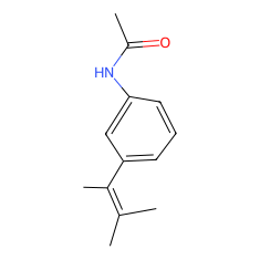 CC(=O)Nc1cccc(C(C)=C(C)C)c1